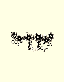 Cc1cc(N=Nc2c(C)c(C#N)c3nc4ccccc4n3c2O)c(OCCCS(=O)(=O)O)cc1N=Nc1cc(C)c(N=Nc2ccc(SOOO)cc2C(=O)O)cc1OCCCS(=O)(=O)O